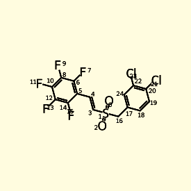 O=S(=O)(C=Cc1c(F)c(F)c(F)c(F)c1F)Cc1ccc(Cl)c(Cl)c1